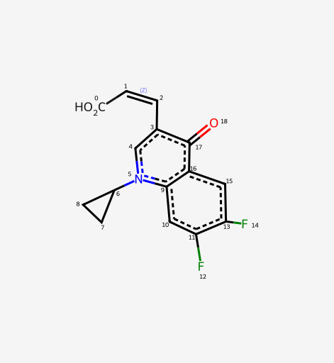 O=C(O)/C=C\c1cn(C2CC2)c2cc(F)c(F)cc2c1=O